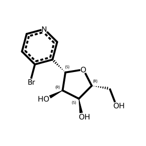 OC[C@H]1O[C@@H](c2cnccc2Br)[C@H](O)[C@@H]1O